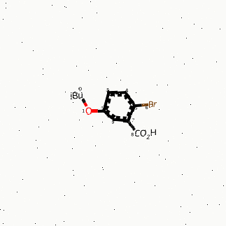 CCC(C)Oc1ccc(Br)c(C(=O)O)c1